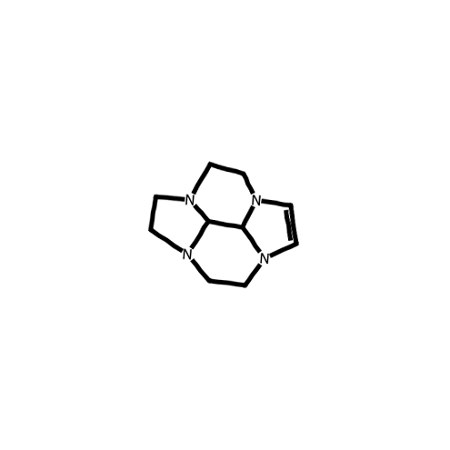 C1=CN2CCN3CCN4CCN1C2C43